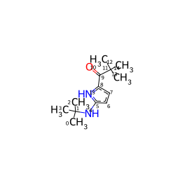 CC(C)(C)Nc1ccc(C(=O)C(C)(C)C)[nH]1